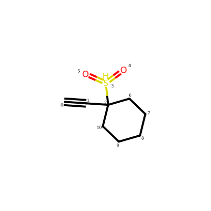 C#CC1([SH](=O)=O)CCCCC1